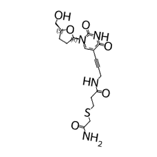 NC(=O)CSCCC(=O)NCC#Cc1cn([C@H]2CC[C@@H](CO)O2)c(=O)[nH]c1=O